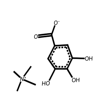 C[N+](C)(C)C.O=C([O-])c1cc(O)c(O)c(O)c1